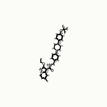 CCOc1nn2ccc(C)cc2c1C(=O)NCc1ccc(N2CCC(c3ccc(OC(F)(F)F)cc3)CC2)cc1